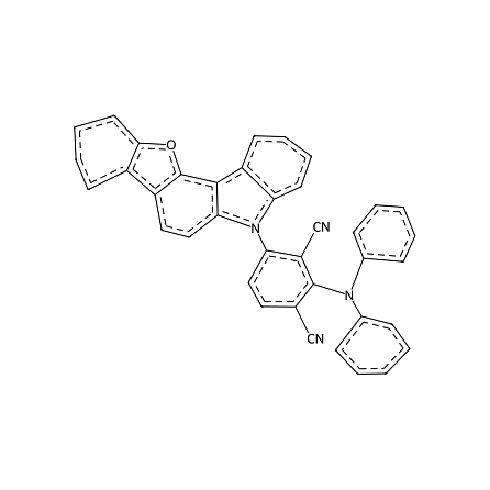 N#Cc1ccc(-n2c3ccccc3c3c4oc5ccccc5c4ccc32)c(C#N)c1N(c1ccccc1)c1ccccc1